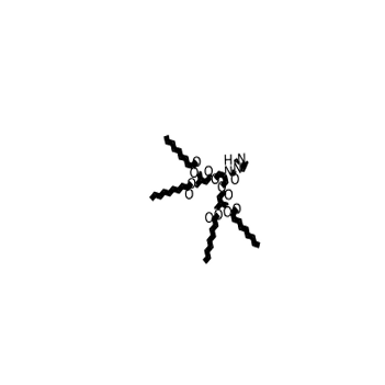 CCCCCCCCC(=O)OCC(COC(=O)CCCCCCCC)CC(=O)OCC(COC(=O)CC(COC(=O)CCCCCCCC)COC(=O)CCCCCCCC)NC(=O)n1ccnc1